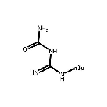 CCCCNC(=N)NC(N)=O